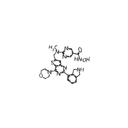 CN(Cc1cc2nc(-c3cccc4c3CNC4)nc(N3CCOCC3)c2s1)c1ncc(C(=O)NO)cn1